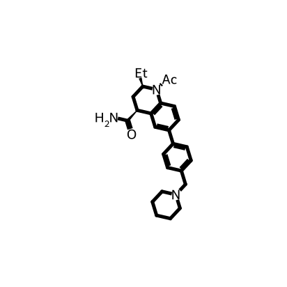 CC[C@@H]1C[C@H](C(N)=O)c2cc(-c3ccc(CN4CCCCC4)cc3)ccc2N1C(C)=O